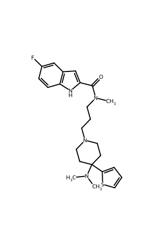 CN(CCCN1CCC(c2cccs2)(N(C)C)CC1)C(=O)c1cc2cc(F)ccc2[nH]1